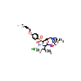 CC#CCOc1ccc(S(=O)(=O)C(C#CCN(CC)CC)NC(C(=O)NO)C(C)C)cc1.Cl